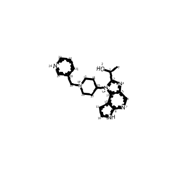 CC(O)c1nc2cnc3[nH]ccc3c2n1C1CCN(Cc2cccnc2)CC1